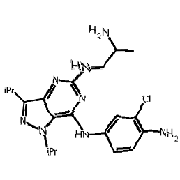 CC(N)CNc1nc(Nc2ccc(N)c(Cl)c2)c2c(n1)c(C(C)C)nn2C(C)C